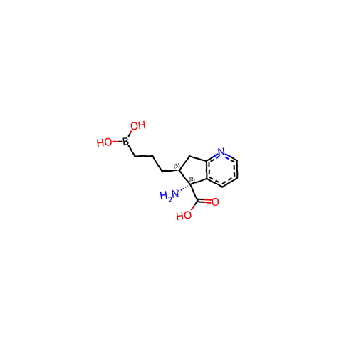 N[C@@]1(C(=O)O)c2cccnc2C[C@@H]1CCCB(O)O